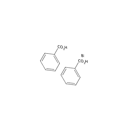 O=C(O)c1ccccc1.O=C(O)c1ccccc1.[B]